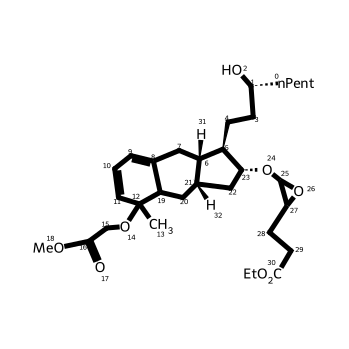 CCCCC[C@@H](O)CC[C@@H]1[C@H]2CC3=CC=CC(C)(OCC(=O)OC)C3C[C@H]2C[C@H]1OC1OC1CCC(=O)OCC